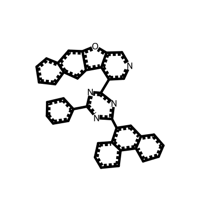 c1ccc(-c2nc(-c3cc4ccccc4c4ccccc34)nc(-c3cncc4oc5cc6ccccc6cc5c34)n2)cc1